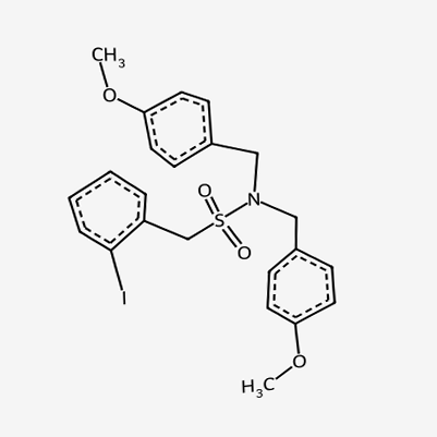 COc1ccc(CN(Cc2ccc(OC)cc2)S(=O)(=O)Cc2ccccc2I)cc1